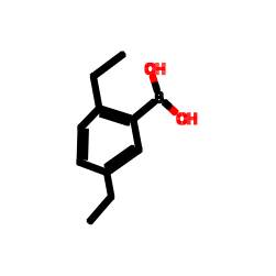 CCc1ccc(CC)c(B(O)O)c1